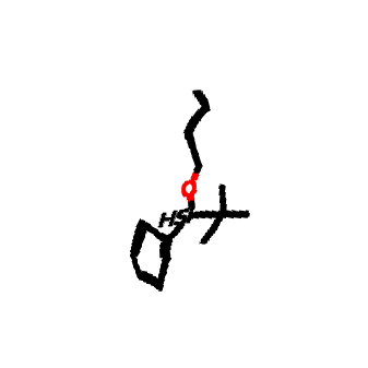 CCCCO[SiH](c1ccccc1)C(C)(C)C